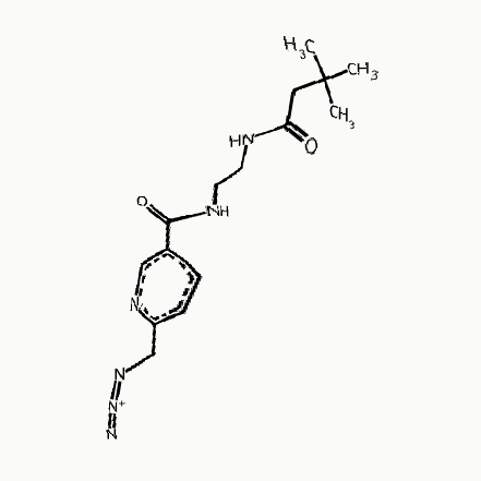 CC(C)(C)CC(=O)NCCNC(=O)c1ccc(CN=[N+]=[N-])nc1